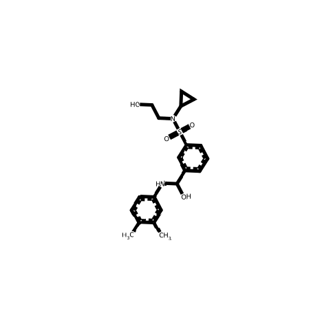 Cc1ccc(NC(O)c2cccc(S(=O)(=O)N(CCO)C3CC3)c2)cc1C